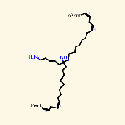 CCCCC/C=C\C/C=C\CCCCCCCCC(N)(CCCCCN)CCCCCCCC/C=C\C/C=C\CCCCC